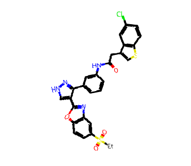 CCS(=O)(=O)c1ccc2oc(-c3c[nH]nc3-c3cccc(NC(=O)Cc4csc5ccc(Cl)cc45)c3)nc2c1